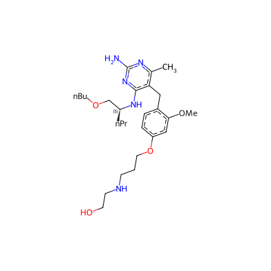 CCCCOC[C@H](CCC)Nc1nc(N)nc(C)c1Cc1ccc(OCCCNCCO)cc1OC